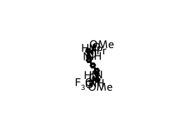 COC(=O)N[C@@H](CC(F)(F)F)C(=O)N1CCC[C@H]1c1nc2ccc(-c3ccc(-c4ccc5nc([C@@H]6CCCN6C(=O)[C@@H](NC(=O)OC)C(C)C)[nH]c5c4)cc3)cc2[nH]1